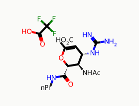 CCCNC(=O)[C@@H]1OC(C(=O)O)=C[C@H](NC(=N)N)[C@H]1NC(C)=O.O=C(O)C(F)(F)F